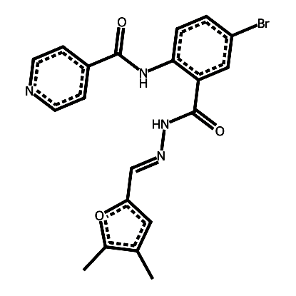 Cc1cc(C=NNC(=O)c2cc(Br)ccc2NC(=O)c2ccncc2)oc1C